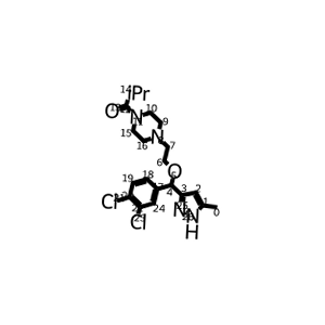 Cc1cc(C(OCCN2CCN(C(=O)C(C)C)CC2)c2ccc(Cl)c(Cl)c2)n[nH]1